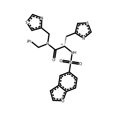 CC(C)CN(Cc1cscn1)C(=O)[C@H](Cc1cscn1)NS(=O)(=O)c1ccc2occc2c1